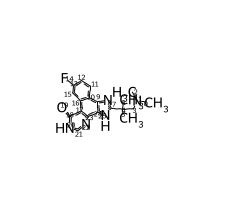 CN(C)CC(C)(C)c1nc2c3ccc(F)cc3c3c(=O)[nH]cnc3c2[nH]1